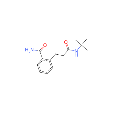 CC(C)(C)NC(=O)C[CH]c1ccccc1C(N)=O